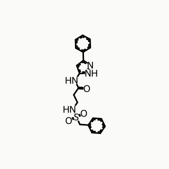 O=C(CCNS(=O)(=O)Cc1ccccc1)Nc1cc(-c2ccccc2)n[nH]1